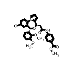 COC(=O)c1ccc(NC(=O)C[C@H]2O[C@H](c3cccc(OC)c3OC)c3cc(Cl)ccc3-n3cccc32)cc1